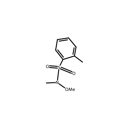 CON(C)S(=O)(=O)c1ccccc1C